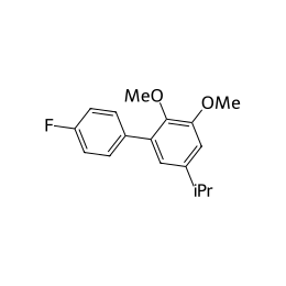 COc1cc(C(C)C)cc(-c2ccc(F)cc2)c1OC